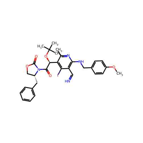 COc1ccc(CNc2nc(C)c([C@H](OC(C)(C)C)C(=O)N3C(=O)OC[C@H]3Cc3ccccc3)c(I)c2C=N)cc1